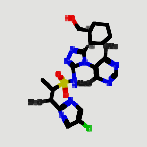 COc1ncnc(OC)c1-n1c(NS(=O)(=O)C(C)C(OC)c2ncc(Cl)cn2)nnc1[C@H]1CCCC[C@@H]1CO